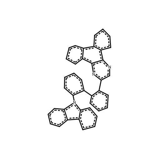 c1ccc(-c2ccccc2-n2c3ccccc3c3ccccc32)c(-c2cnc3c4ccccc4c4ccccc4c3n2)c1